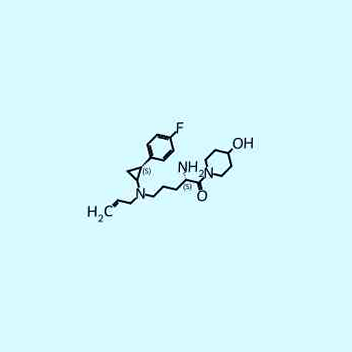 C=CCN(CCC[C@H](N)C(=O)N1CCC(O)CC1)C1C[C@H]1c1ccc(F)cc1